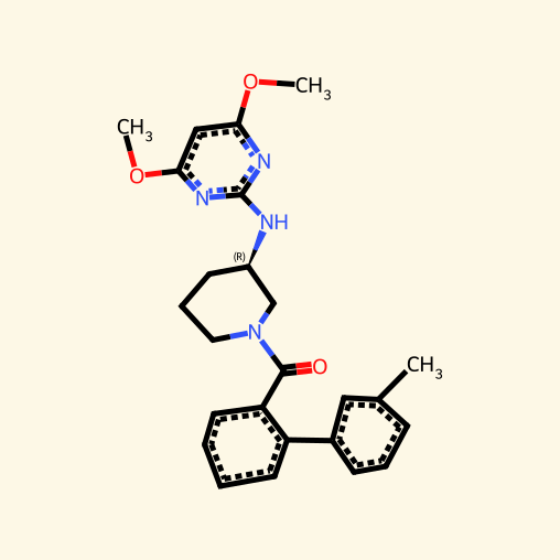 COc1cc(OC)nc(N[C@@H]2CCCN(C(=O)c3ccccc3-c3cccc(C)c3)C2)n1